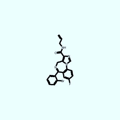 C=CCNC(=O)c1ncn2c1CN=C(c1ccccc1Br)c1cc(F)ccc1-2